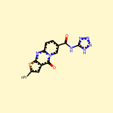 CCCc1cc2c(=O)n3cc(C(=O)Nc4nnn[nH]4)ccc3nc2s1